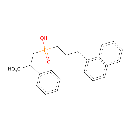 O=C(O)C(CP(=O)(O)CCCc1cccc2ccccc12)c1ccccc1